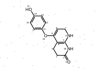 O=C1CCC2=C(NCC=C2Oc2ccc(O)cc2)N1